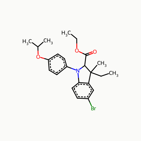 CCOC(=O)C1N(c2ccc(OC(C)C)cc2)c2ccc(Br)cc2C1(C)CC